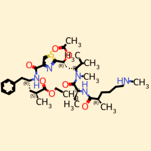 CCOC(=O)[C@@H](C)C[C@H](Cc1ccccc1)NC(=O)c1csc([C@@H](C[C@H](C(C)C)N(C)C(=O)[C@H](CC)NC(=O)[C@H](C)CCCCNC)OC(C)=O)n1